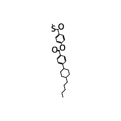 CCCCCC1CCC(c2ccc(C(=O)Oc3ccc(C(=O)SC)cc3)cc2)CC1